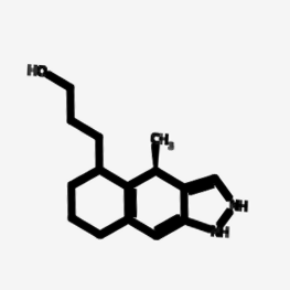 C[C@H]1C2=CNNC2=CC2=C1C(CCCO)CCC2